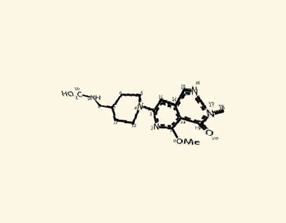 COc1nc(N2CCC(CNC(=O)O)CC2)cc2cnn(C)c(=O)c12